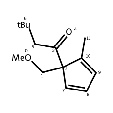 COCC1(C(=O)CC(C)(C)C)C=CC=C1C